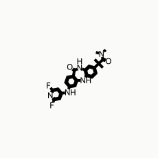 CN(C)C(=O)C(C)(C)c1ccc2c(c1)NC(=O)c1ccc(Nc3cc(F)nc(F)c3)cc1N2